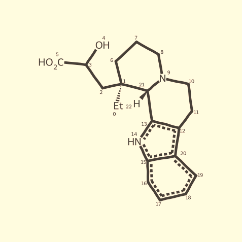 CC[C@]1(CC(O)C(=O)O)CCCN2CCc3c([nH]c4ccccc34)[C@@H]21